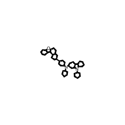 c1ccc(N(c2ccc(-c3ccc4c(ccc5oc6ccccc6c54)c3)cc2)c2ccc3c4ccccc4n(-c4ccccc4)c3c2)cc1